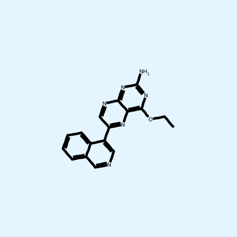 CCOc1nc(N)nc2ncc(-c3cncc4ccccc34)nc12